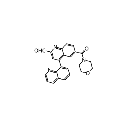 O=Cc1cc(-c2cccc3cccnc23)c2cc(C(=O)N3CCOCC3)ccc2n1